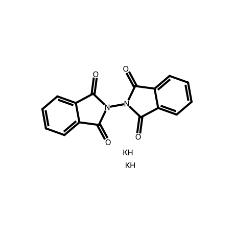 O=C1c2ccccc2C(=O)N1N1C(=O)c2ccccc2C1=O.[KH].[KH]